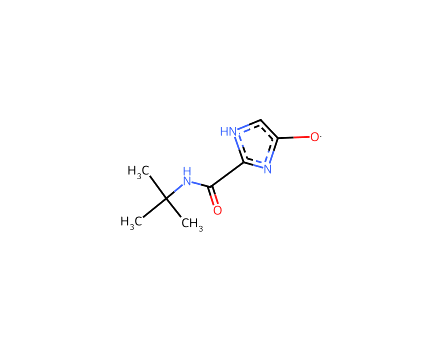 CC(C)(C)NC(=O)c1nc([O])c[nH]1